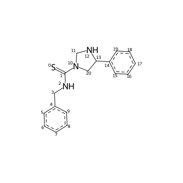 S=C(NCc1ccccc1)N1CNC(c2ccccc2)C1